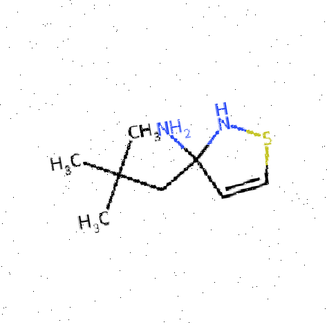 CC(C)(C)CC1(N)C=CSN1